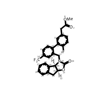 COC(=O)Cc1ccc(F)c(-c2ccc(C(F)(F)F)cc2CN2C(=O)O[C@H]3Cc4ccccc4[C@H]32)c1